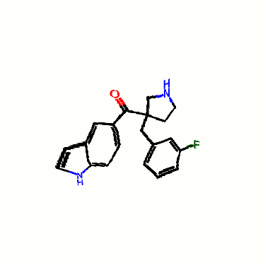 O=C(c1ccc2[nH]ccc2c1)C1(Cc2cccc(F)c2)CCNC1